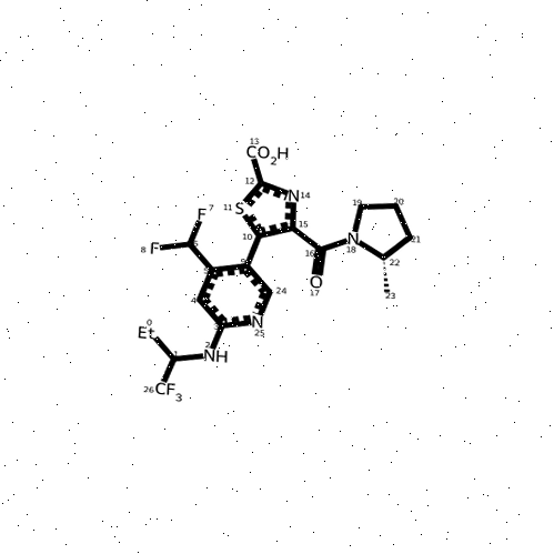 CCC(Nc1cc(C(F)F)c(-c2sc(C(=O)O)nc2C(=O)N2CCC[C@@H]2C)cn1)C(F)(F)F